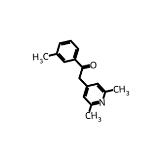 Cc1cccc(C(=O)Cc2cc(C)nc(C)c2)c1